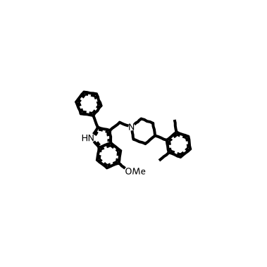 COc1ccc2[nH]c(-c3ccccc3)c(CN3CCC(c4c(C)cccc4C)CC3)c2c1